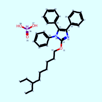 CCC(CC)CCCCCCOc1nc(-c2ccccc2)c(-c2ccccc2)n1-c1ccccc1.O=[PH](O)O